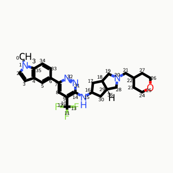 Cn1ccc2cc(-c3cc(C(F)(F)F)c(NC4CC5CN(CC6CCOCC6)C[C@H]5C4)nn3)ccc21